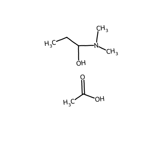 CC(=O)O.CCC(O)N(C)C